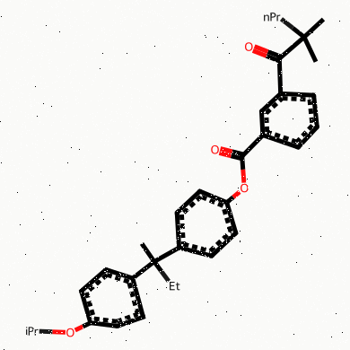 CCCC(C)(C)C(=O)c1cccc(C(=O)Oc2ccc(C(C)(CC)c3ccc(OC(C)C)cc3)cc2)c1